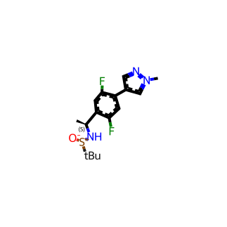 C[C@H](N[S+]([O-])C(C)(C)C)c1cc(F)c(-c2cnn(C)c2)cc1F